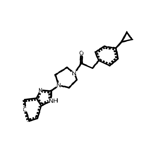 O=C(Cc1ccc(C2CC2)cc1)N1CCN(c2nc3ccccc3[nH]2)CC1